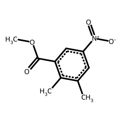 COC(=O)c1cc([N+](=O)[O-])cc(C)c1C